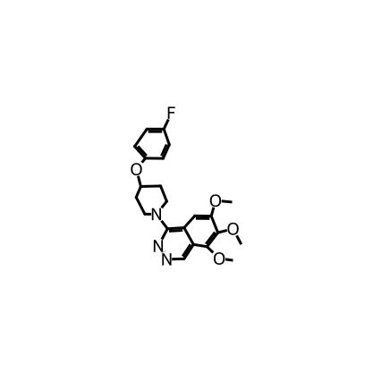 COc1cc2c(N3CCC(Oc4ccc(F)cc4)CC3)nncc2c(OC)c1OC